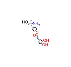 NC(Cc1ccc(OC(=O)/C=C/c2ccc(O)c(O)c2)cc1)C(=O)O